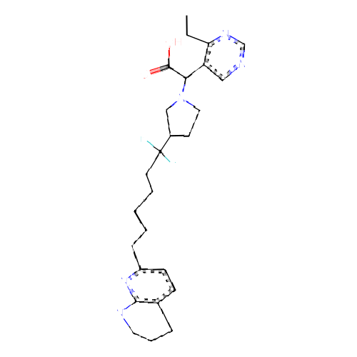 CCc1ncncc1C(C(=O)O)N1CCC(C(F)(F)CCCCCc2ccc3c(n2)NCCC3)C1